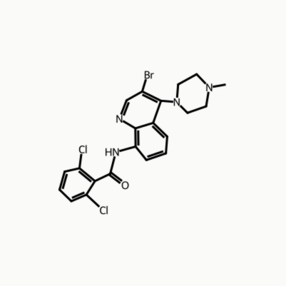 CN1CCN(c2c(Br)cnc3c(NC(=O)c4c(Cl)cccc4Cl)cccc23)CC1